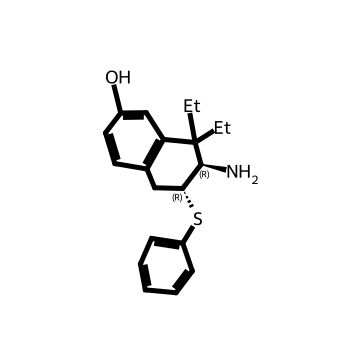 CCC1(CC)c2cc(O)ccc2C[C@@H](Sc2ccccc2)[C@@H]1N